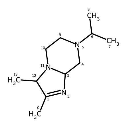 CC1=NC2CN(C(C)C)CCN2C1C